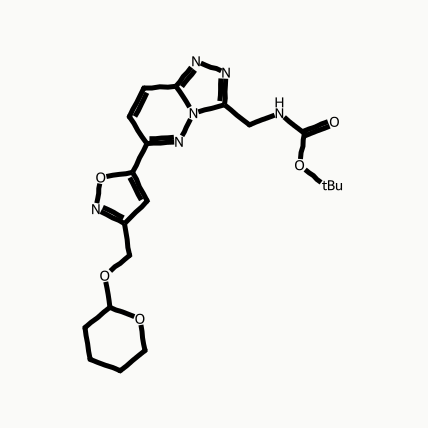 CC(C)(C)OC(=O)NCc1nnc2ccc(-c3cc(COC4CCCCO4)no3)nn12